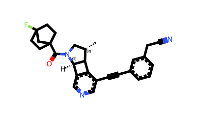 C[C@H]1CN(C(=O)C23CCC(F)(CC2)C3)[C@@H]2c3cncc(C#Cc4cccc(CC#N)c4)c3C21